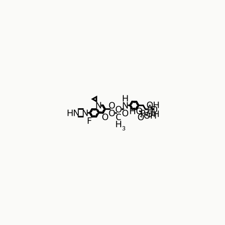 CC(OC(=O)Nc1ccc(CC(P(=O)(O)O)P(=O)(O)O)cc1)OC(=O)c1cn(C2CC2)c2cc(N3CCNCC3)c(F)cc2c1=O